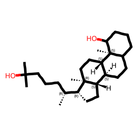 C[C@H](CCCC(C)(C)O)[C@H]1CC[C@H]2[C@@H]3CCC4CCCC(O)[C@]4(C)[C@H]3CC[C@]12C